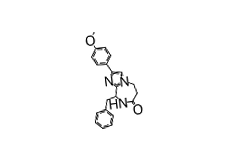 COc1ccc(-c2cn3c(n2)C(Cc2ccccc2)NC(=O)CC3)cc1